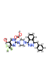 COC(=O)[C@@H]1CN(c2nnc(Cc3ccccc3)c3ccccc23)CCN1c1ncc(C=O)c(C(F)(F)F)n1